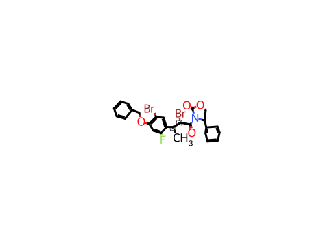 C[C@@H](c1cc(Br)c(OCc2ccccc2)cc1F)[C@@H](Br)C(=O)N1C(=O)OCC1c1ccccc1